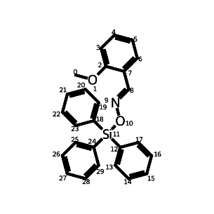 COc1ccccc1C=NO[Si](c1ccccc1)(c1ccccc1)c1ccccc1